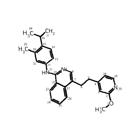 COc1cc(CCc2cnc(Nc3ccc(C(C)C)c(C)c3)c3ccccc23)ccn1